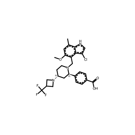 COc1cc(C)c2[nH]cc(Cl)c2c1CN1CC[C@@H](N2CC(C(F)(F)F)C2)C[C@@H]1c1ccc(C(=O)O)cc1